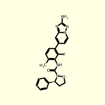 Cc1ccc(-c2ccn3nc(N)nc3c2)c(F)c1NC(=O)N1OCC[C@H]1c1ccccc1